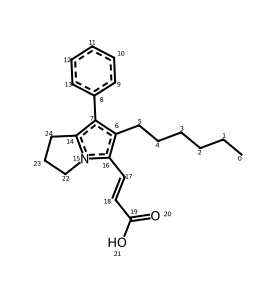 CCCCCCc1c(-c2ccccc2)c2n(c1C=CC(=O)O)CCC2